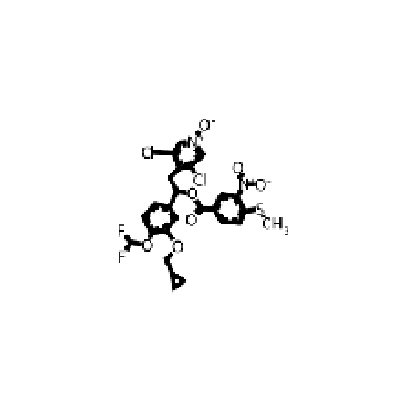 CSc1ccc(C(=O)OC(Cc2c(Cl)c[n+]([O-])cc2Cl)c2ccc(OC(F)F)c(OCC3CC3)c2)cc1[N+](=O)[O-]